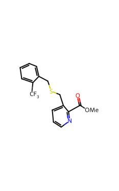 COC(=O)c1ncccc1CSCc1ccccc1C(F)(F)F